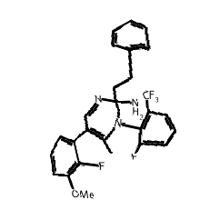 COc1cccc(C2=C(C)N(c3c(F)cccc3C(F)(F)F)C(N)(CCc3ccccc3)N=C2)c1F